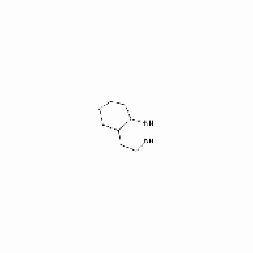 C1CCC2NNCCC2C1